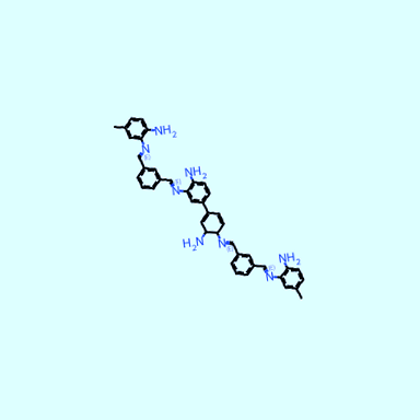 Cc1ccc(N)c(/N=C/c2cccc(/C=N/c3cc(C4=CC(N)C(/N=C/c5cccc(/C=N/c6cc(C)ccc6N)c5)C=C4)ccc3N)c2)c1